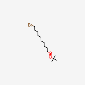 CC(C)(C)OOCCCCCCCCCCBr